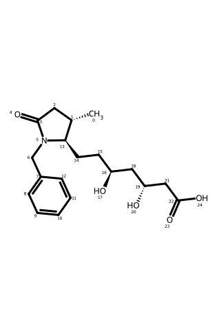 C[C@H]1CC(=O)N(Cc2ccccc2)[C@@H]1CC[C@H](O)C[C@@H](O)CC(=O)O